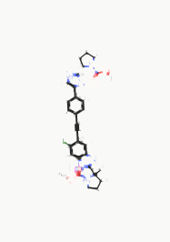 CC(C)(C)OC(=O)N1CCC[C@H]1c1nc(-c2ccc(C#Cc3cc4nc(C5(C)CCCN5C(=O)OC(C)(C)C)[nH]c4cc3Cl)cc2)c[nH]1